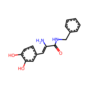 N/C(=C\c1ccc(O)c(O)c1)C(=O)NCc1ccccc1